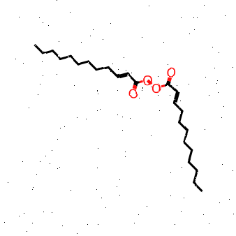 CCCCCCCCCC=CC(=O)OOC(=O)C=CCCCCCCCCC